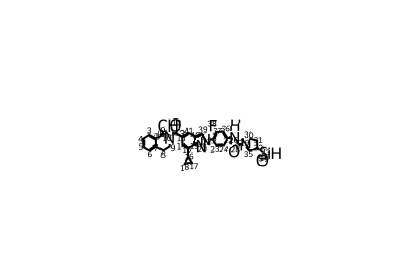 C[C@@H]1c2ccccc2CCN1C(=O)c1cc(C2CC2)c2nn(-c3ccc(NC(=O)N4CCC([SiH]=O)C4)cc3F)cc2c1